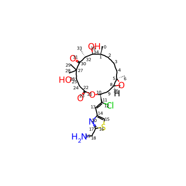 C[C@H]1CCC[C@@]2(C)O[C@H]2C[C@@H](C(Cl)=Cc2csc(CN)n2)OC(=O)C[C@H](O)C(C)(C)C(=O)[C@H](C)[C@H]1O